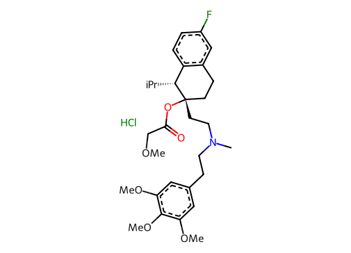 COCC(=O)O[C@@]1(CCN(C)CCc2cc(OC)c(OC)c(OC)c2)CCc2cc(F)ccc2[C@H]1C(C)C.Cl